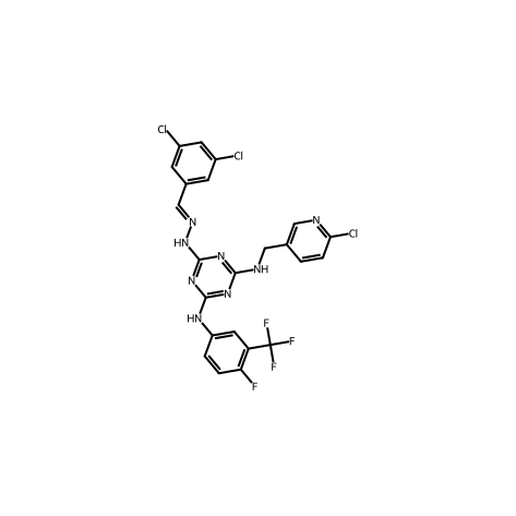 Fc1ccc(Nc2nc(NCc3ccc(Cl)nc3)nc(N/N=C/c3cc(Cl)cc(Cl)c3)n2)cc1C(F)(F)F